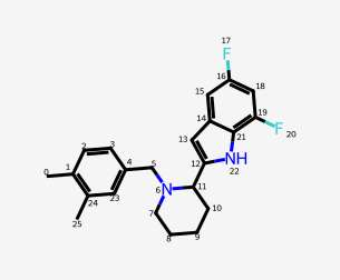 Cc1ccc(CN2CCCCC2c2cc3cc(F)cc(F)c3[nH]2)cc1C